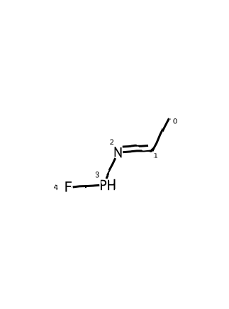 CC=NPF